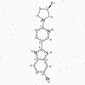 F[C@@H]1CCN(c2ccc(-c3nc4ccc(Br)cc4s3)cn2)C1